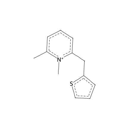 Cc1cccc(Cc2cccs2)[n+]1C